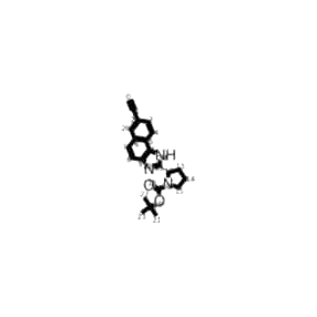 C#Cc1ccc2c(ccc3nc([C@@H]4CCCN4C(=O)OC(C)(C)C)[nH]c32)c1